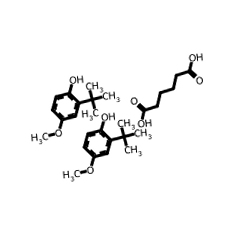 COc1ccc(O)c(C(C)(C)C)c1.COc1ccc(O)c(C(C)(C)C)c1.O=C(O)CCCCC(=O)O